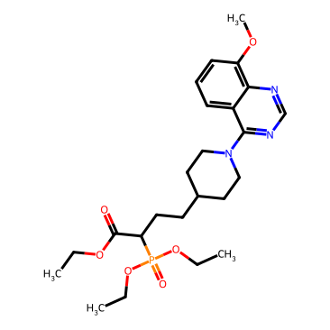 CCOC(=O)C(CCC1CCN(c2ncnc3c(OC)cccc23)CC1)P(=O)(OCC)OCC